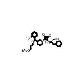 COCCCOC(c1ccccc1C(F)(F)F)C1CCCN(c2c(N[C@H](CN)CC3CCCCC3)c(=O)c2=O)C1